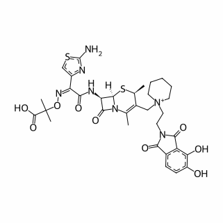 CC1=C(C[N+]2(CCN3C(=O)c4ccc(O)c(O)c4C3=O)CCCCC2)[C@H](C)S[C@@H]2[C@H](NC(=O)/C(=N\OC(C)(C)C(=O)O)c3csc(N)n3)C(=O)N12